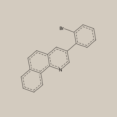 Brc1ccccc1-c1cnc2c(ccc3ccccc32)c1